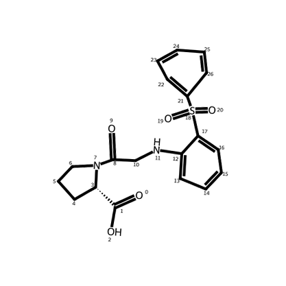 O=C(O)[C@@H]1CCCN1C(=O)CNc1ccccc1S(=O)(=O)c1ccccc1